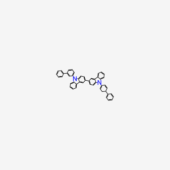 C1=CC(c2ccccc2)CC=C1n1c2ccccc2c2cc(-c3ccc4c(c3)c3ccccc3n4-c3cccc(-c4ccccc4)c3)ccc21